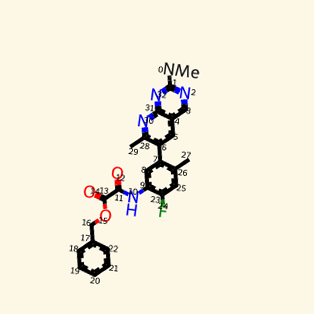 CNc1ncc2cc(-c3cc(NC(=O)C(=O)OCc4ccccc4)c(F)cc3C)c(C)nc2n1